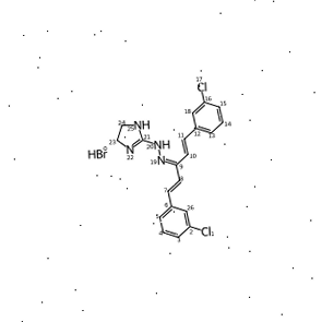 Br.Clc1cccc(/C=C/C(/C=C/c2cccc(Cl)c2)=NNC2=NCCN2)c1